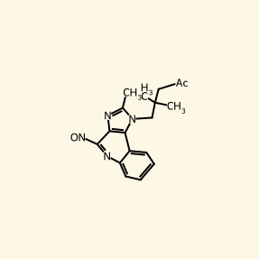 CC(=O)CC(C)(C)Cn1c(C)nc2c(N=O)nc3ccccc3c21